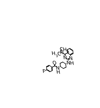 CN(C)c1nc(N[C@H]2CC[C@@H](NC(=O)c3ccc(F)cc3)CC2)nc2ccccc12